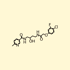 Cc1ccc(C(=O)NCC(O)CCNC(=O)COc2ccc(Cl)c(F)c2)cn1